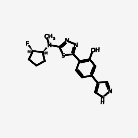 CN(c1nnc(-c2ccc(-c3cn[nH]c3)cc2O)s1)[C@@H]1CCC[C@@H]1F